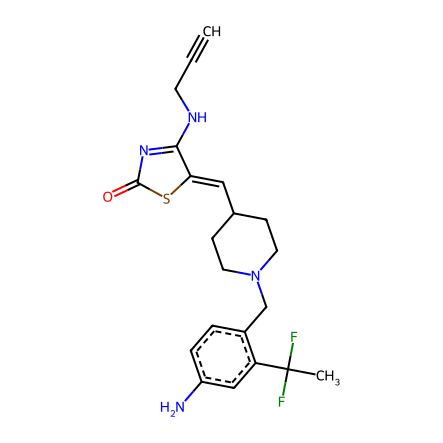 C#CCNC1=NC(=O)S/C1=C\C1CCN(Cc2ccc(N)cc2C(C)(F)F)CC1